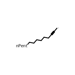 [CH2]C#CCCCCCCCCCCC